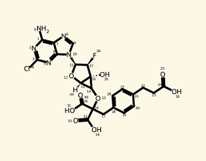 Nc1nc(Cl)nc2c1ncn2[C@@H]1O[C@@H]2C(OC(Cc3ccc(CCC(=O)O)cc3)(C(=O)O)C(=O)O)[C@]2(O)[C@@H]1F